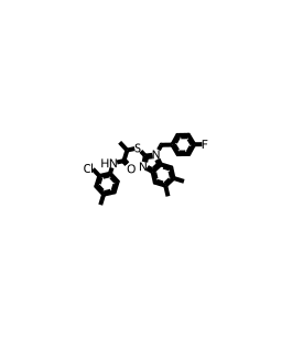 Cc1ccc(NC(=O)C(C)Sc2nc3cc(C)c(C)cc3n2Cc2ccc(F)cc2)c(Cl)c1